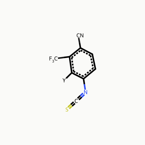 N#Cc1ccc(N=C=S)[c]([Y])c1C(F)(F)F